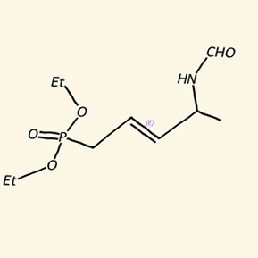 CCOP(=O)(C/C=C/C(C)NC=O)OCC